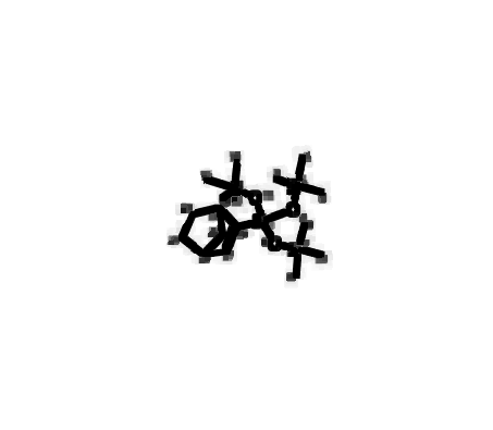 C[Si](C)(C)O[Si](O[Si](C)(C)C)(O[Si](C)(C)C)C1=CC2CCC1C2